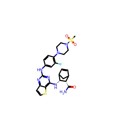 CS(=O)(=O)N1CCN(c2ccc(Nc3nc(N[C@@H]4C5C=CC(C5)[C@@H]4C(N)=O)c4sccc4n3)cc2F)CC1